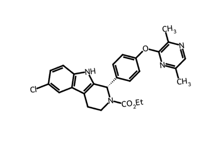 CCOC(=O)N1CCc2c([nH]c3ccc(Cl)cc23)[C@@H]1c1ccc(Oc2nc(C)cnc2C)cc1